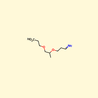 CC(COCCC(=O)O)OCCC=N